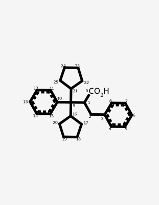 O=C(O)C(Cc1ccccc1)C(c1ccccc1)(C1CCCC1)C1CCCC1